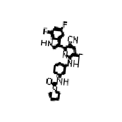 N#Cc1cc(F)c(N[C@@H]2CCC[C@H](NC(=O)N3CCCC3)C2)nc1-c1c[nH]c2c(F)cc(F)cc12